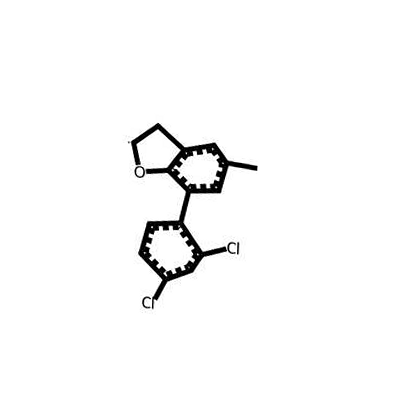 Cc1cc2c(c(-c3ccc(Cl)cc3Cl)c1)O[CH]C2